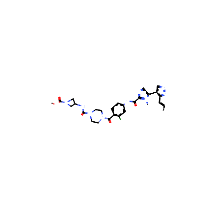 Cn1c(-c2c[nH]nc2C=CC(F)(F)F)cnc1C(=O)Nc1ccc(C(=O)N2CCN(C(=O)NC3CN(C(=O)OC(C)(C)C)C3)CC2)c(Cl)c1